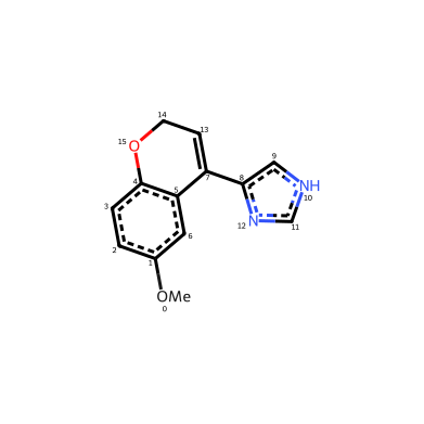 COc1ccc2c(c1)C(c1c[nH]cn1)=CCO2